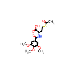 COc1cc(C(=O)NC(CCSC(C)=O)C(=O)O)cc(OC)c1OC